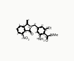 C=C1c2cccc([N+](=O)[O-])c2C(=O)N1Cc1cc(N)c(C(=O)NC)c(CC)c1